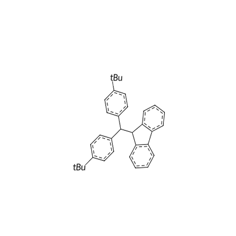 CC(C)(C)c1ccc(C(c2ccc(C(C)(C)C)cc2)C2c3ccccc3-c3ccccc32)cc1